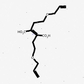 C=CCOCC/C(C(=O)O)=C(/CCOCC=C)C(=O)O